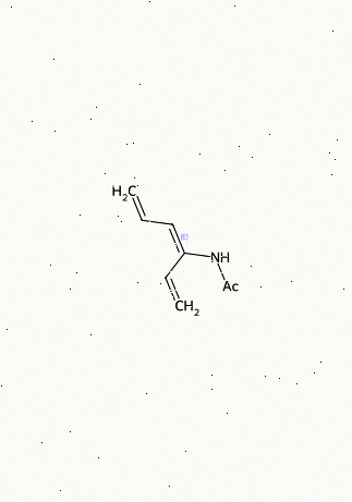 C=C/C=C(\C=C)NC(C)=O